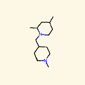 CC1CCN(CC2CCN(C)CC2)C(C)C1